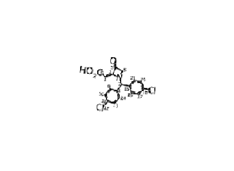 O=C(O)/C=C1\C(=O)CN1C(c1ccc(Cl)cc1)c1ccc(Cl)cc1